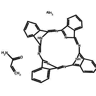 C=CC(N)=O.[AlH3].c1ccc2c(c1)-c1nc-2nc2[nH]c(nc3nc(nc4[nH]c(n1)c1ccccc41)-c1ccccc1-3)c1ccccc21